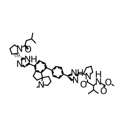 COC(=O)NC(C(=O)N1CCCC1c1ncc(-c2ccc(-c3ccc(-c4cnc([C@@H]5CCCN5C(=O)CC(C)C)[nH]4)c4c3C3(CCCN3C)CC4)cc2)[nH]1)C(C)C